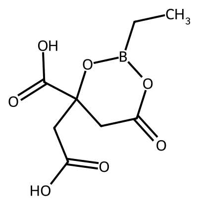 CCB1OC(=O)CC(CC(=O)O)(C(=O)O)O1